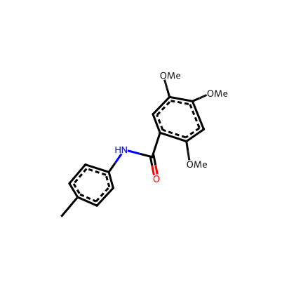 COc1cc(OC)c(C(=O)Nc2ccc(C)cc2)cc1OC